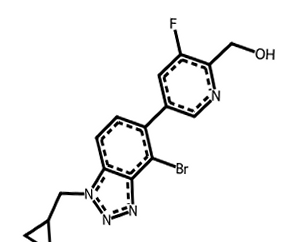 OCc1ncc(-c2ccc3c(nnn3CC3CC3)c2Br)cc1F